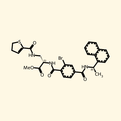 COC(=O)[C@H](CNC(=O)C1=CCCS1)NC(=O)c1ccc(C(=O)N[C@H](C)c2cccc3ccccc23)cc1Br